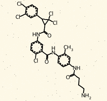 Cc1cc(NC(=O)CCCN)ccc1NC(=O)c1cc(NC(=O)C2C(c3ccc(Cl)c(Cl)c3)C2(Cl)Cl)ccc1Cl